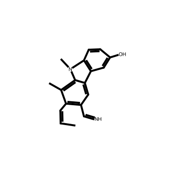 C/C=C\c1c(C=N)cc2c3cc(O)ccc3n(C)c2c1C